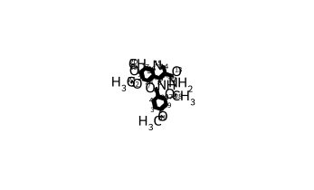 COc1ccc(C(=O)Nc2c(C(N)=O)cnc3cc(OC)c(OC)cc23)c(OC)c1